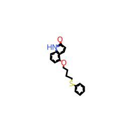 O=c1ccc2c(OCCCCSc3ccccc3)cccc2[nH]1